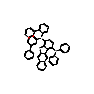 c1ccc(-c2cccc(N(c3ccccc3-c3ccccc3)c3ccc(N(c4ccccc4)c4ccccc4)c4c3sc3cc5ccccc5cc34)c2)cc1